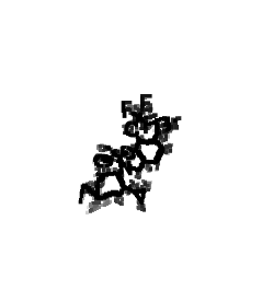 CS(=O)(=O)N(Cc1ccc(Br)c(OC(F)(F)F)c1)c1cnccc1C1CC1